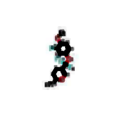 CCCC1CCC(C(F)(F)Oc2ccc(OCC)c(F)c2F)=CO1